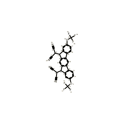 N#CC(C#N)C1c2cc(OC(F)(F)F)ccc2-c2cc3c(cc21)C(C(C#N)C#N)c1cc(OC(F)(F)F)ccc1-3